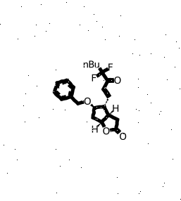 CCCCC(F)(F)C(=O)/C=C/[C@@H]1[C@H]2CC(=O)O[C@H]2C[C@H]1OCc1ccccc1